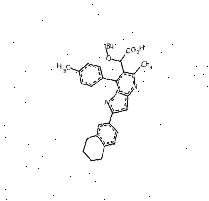 Cc1ccc(-c2c(C(OC(C)(C)C)C(=O)O)c(C)nc3cc(-c4ccc5c(c4)CCCC5)nn23)cc1